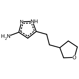 Nc1cc(CCC2CCOC2)[nH]n1